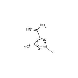 Cc1nc(C(=N)N)cs1.Cl